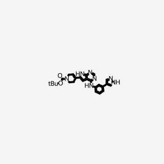 CC(C)(C)OC(=O)N1CC=C(c2cc3c(Nc4cccc(-c5cn[nH]c5)c4)ncnc3[nH]2)CC1